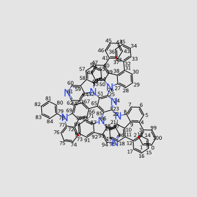 c1ccc(-c2cccc3c2c2c(-c4ccccc4)cccc2n3-c2nc(-n3c4cccc(-c5ccccc5)c4c4c(-c5ccccc5)cccc43)c(-n3c4ccccc4c4cnccc43)c(-c3ccc4c(c3)c3ccccc3n4-c3ccccc3)c2-n2c3ccccc3c3cnccc32)cc1